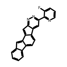 Fc1cccnc1-c1cc2c(nn1)C=c1c-2ccc2c1=Cc1ccccc1-2